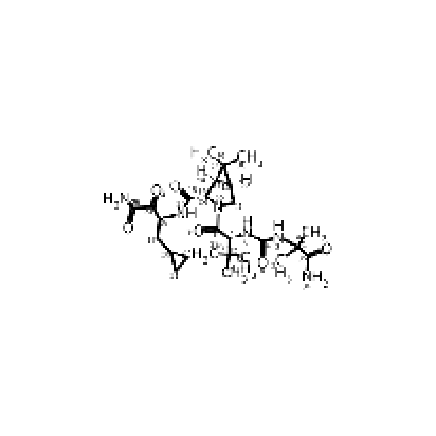 CC(C)(NC(=O)N[C@H](C(=O)N1C[C@H]2[C@@H]([C@H]1C(=O)NC(CC1CC1)C(=O)C(N)=O)C2(C)C)C(C)(C)C)C(N)=O